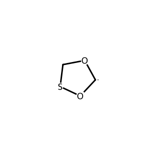 [CH]1OCSO1